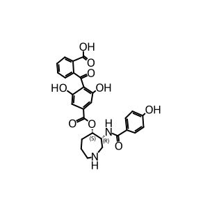 O=C(N[C@@H]1CNCCC[C@@H]1OC(=O)c1cc(O)c(C(=O)c2ccccc2C(=O)O)c(O)c1)c1ccc(O)cc1